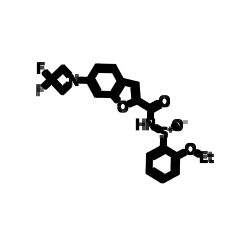 CCOc1ccccc1[S+]([O-])NC(=O)c1cc2ccc(N3CC(F)(F)C3)cc2o1